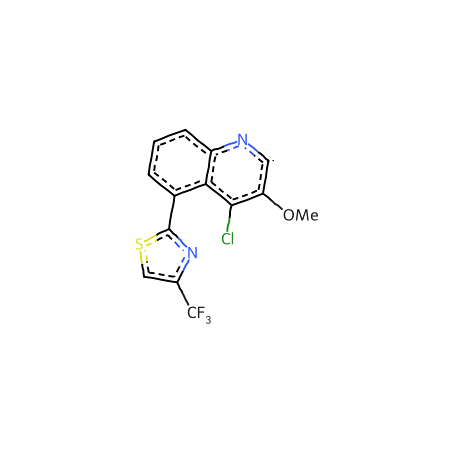 COc1[c]nc2cccc(-c3nc(C(F)(F)F)cs3)c2c1Cl